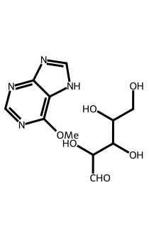 COc1ncnc2nc[nH]c12.O=CC(O)C(O)C(O)CO